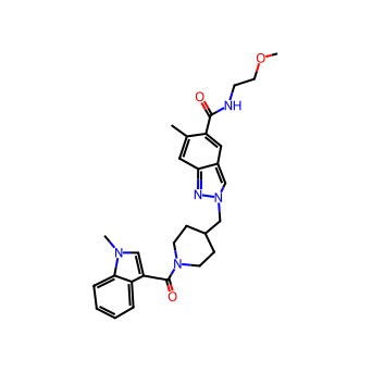 COCCNC(=O)c1cc2cn(CC3CCN(C(=O)c4cn(C)c5ccccc45)CC3)nc2cc1C